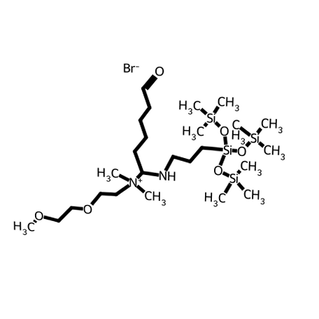 COCCOCC[N+](C)(C)C(CCCCC=O)NCCC[Si](O[Si](C)(C)C)(O[Si](C)(C)C)O[Si](C)(C)C.[Br-]